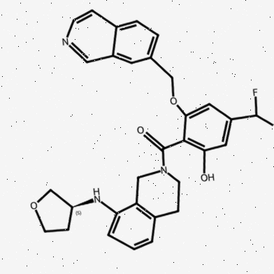 O=C(c1c(O)cc(C(F)F)cc1OCc1ccc2ccncc2c1)N1CCc2cccc(N[C@H]3CCOC3)c2C1